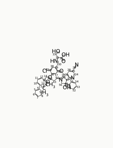 CC1(C)C(c2ccccc2)=CC=CC1(COc1cc(OCc2cncc(C#N)c2)c(CNC(CO)C(=O)O)cc1Cl)OCCCN1CCC(O)(c2ccccc2)C1